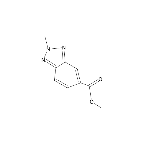 COC(=O)c1ccc2nn(C)nc2c1